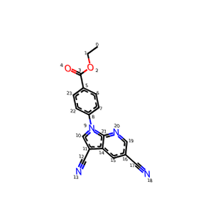 CCOC(=O)c1ccc(-n2cc(C#N)c3cc(C#N)cnc32)cc1